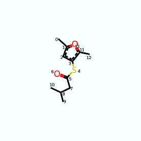 Cc1cc(SC(=O)CC(C)C)c(C)o1